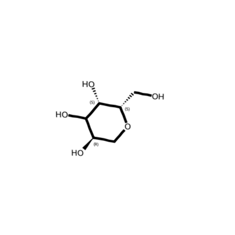 OC[C@@H]1OC[C@@H](O)[C](O)[C@@H]1O